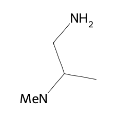 CNC(C)CN